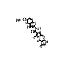 COc1ccc2nc(NC(=O)c3cc(C)n(Cc4cncn4C)c3C)[nH]c2c1